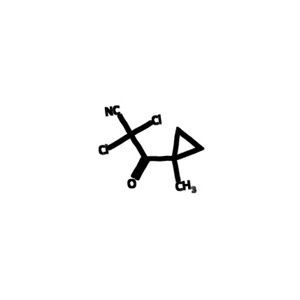 CC1(C(=O)C(Cl)(Cl)C#N)CC1